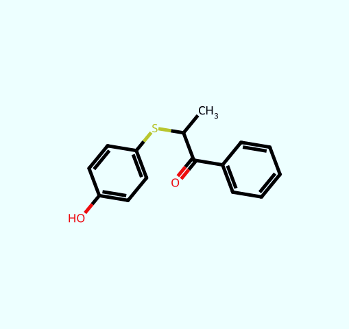 CC(Sc1ccc(O)cc1)C(=O)c1ccccc1